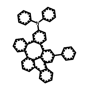 c1ccc(-c2cc3c4ccc(N(c5ccccc5)c5ccccc5)cc4c4ccccc4c4cccc5c6ccccc6c(c2)c3c45)cc1